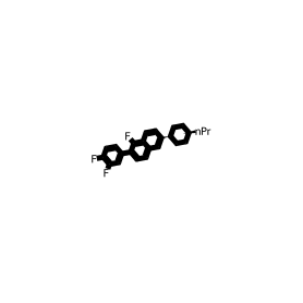 CCC[C@H]1CC[C@H](c2ccc3c(F)c(-c4ccc(F)c(F)c4)ccc3c2)CC1